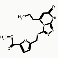 CCCc1cc(=O)[nH]c2nnc(SCc3ccc(C(=O)OC)o3)n12